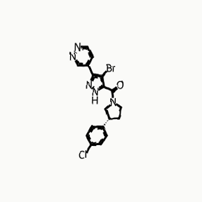 O=C(c1[nH]nc(-c2ccnnc2)c1Br)N1CC[C@H](c2ccc(Cl)cc2)C1